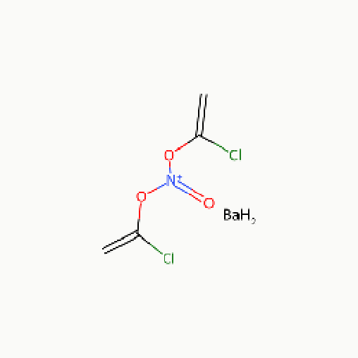 C=C(Cl)O[N+](=O)OC(=C)Cl.[BaH2]